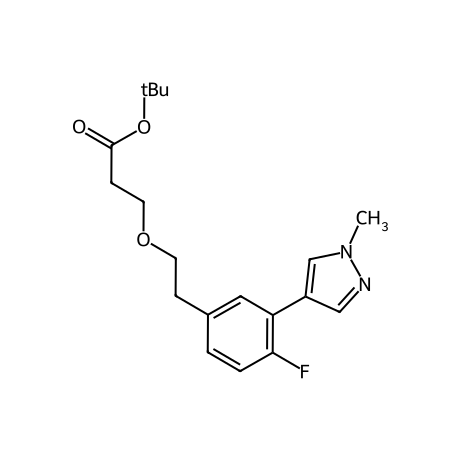 Cn1cc(-c2cc(CCOCCC(=O)OC(C)(C)C)ccc2F)cn1